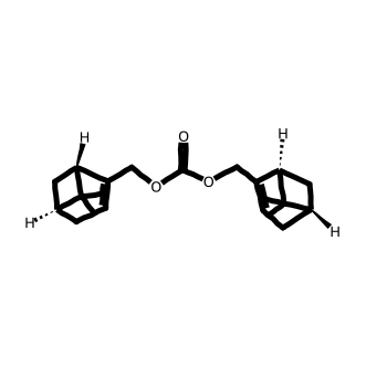 CC1(C)[C@H]2CC=C(COC(=O)OCC3=CC[C@H]4C[C@H]3C4(C)C)[C@H]1C2